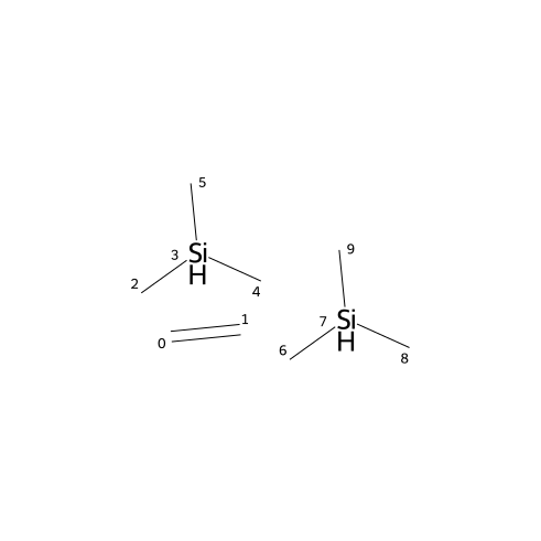 C=C.C[SiH](C)C.C[SiH](C)C